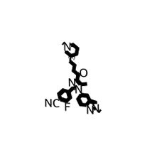 Cc1c(C(=O)CCC[C@@H]2CCCN(C)C2)nc(-c2ccc(C#N)c(F)c2)n1-c1ccc2nn(C)cc2c1